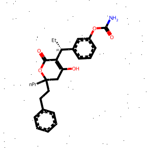 CCCC1(CCc2ccccc2)CC(O)=C([C@H](CC)c2cccc(OC(N)=O)c2)C(=O)O1